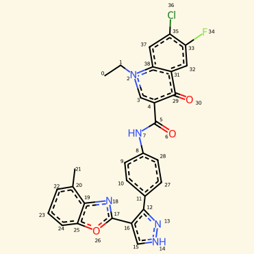 CCn1cc(C(=O)Nc2ccc(-c3n[nH]cc3-c3nc4c(C)cccc4o3)cc2)c(=O)c2cc(F)c(Cl)cc21